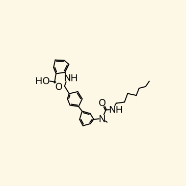 CCCCCCCNC(=O)N(C)c1cccc(-c2ccc(CNc3ccccc3C(=O)O)cc2)c1